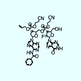 C=CCOP(=O)(OCCC#N)[C@H]1CC(n2cnc3c(NC(=O)c4ccccc4)ncnc32)OC1COP(=O)(OCCC#N)[C@@H]1C(CO)OC(n2cnc3c(=O)[nH]cnc32)[C@@H]1F